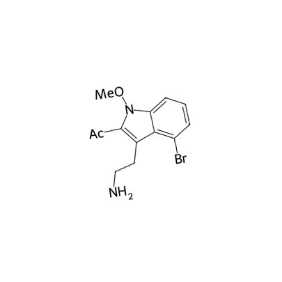 COn1c(C(C)=O)c(CCN)c2c(Br)cccc21